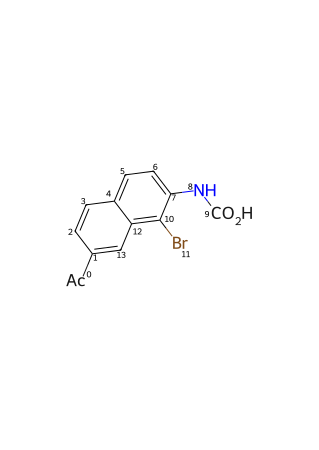 CC(=O)c1ccc2ccc(NC(=O)O)c(Br)c2c1